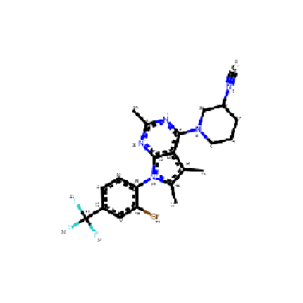 [C-]#[N+]C1CCCN(c2nc(C)nc3c2c(C)c(C)n3-c2ccc(C(F)(F)F)cc2Br)C1